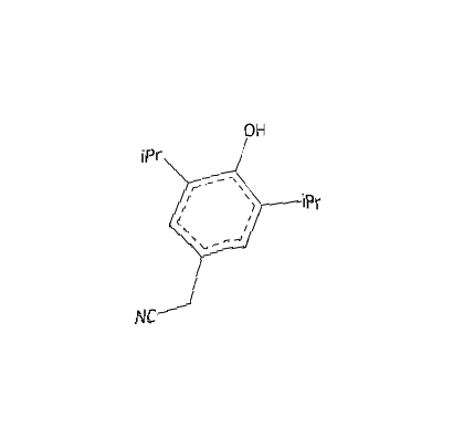 CC(C)c1cc(CC#N)cc(C(C)C)c1O